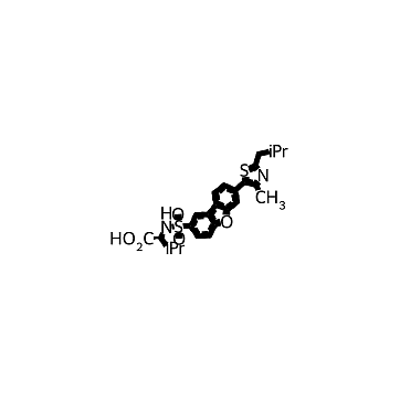 Cc1nc(CC(C)C)sc1-c1ccc2c(c1)oc1ccc(S(=O)(=O)N[C@H](C(=O)O)C(C)C)cc12